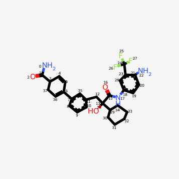 NC(=O)C1C=CC(c2cccc(CC(O)(C(=O)Nc3ccc(N)c(C(F)(F)F)c3)C3CCCCC3)c2)=CC1